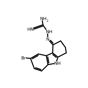 N=C(N)NN=C1CCCc2[nH]c3ccc(Br)cc3c21